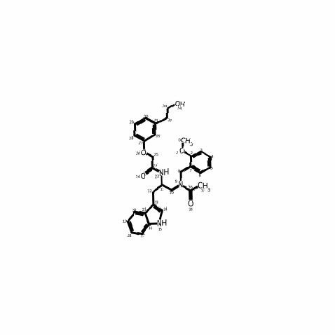 COc1ccccc1CN(CC(Cc1c[nH]c2ccccc12)NC(=O)COc1cccc(CCO)c1)C(C)=O